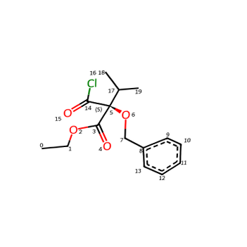 CCOC(=O)[C@](OCc1ccccc1)(C(=O)Cl)C(C)C